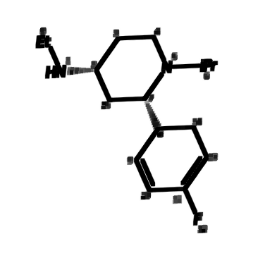 CCN[C@@H]1CCN(C(C)C)[C@H](C2C=CC(F)=CC2)C1